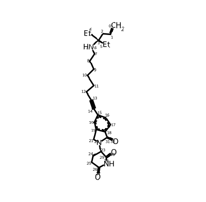 C=CCC(CC)(CC)NCCCCCCC#Cc1ccc2c(c1)CN(C1CCC(=O)NC1=O)C2=O